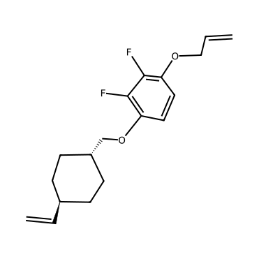 C=CCOc1ccc(OC[C@H]2CC[C@H](C=C)CC2)c(F)c1F